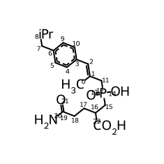 C/C(=C\c1ccc(CC(C)C)cc1)CP(=O)(O)CC(CCC(N)=O)C(=O)O